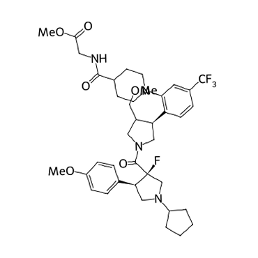 COCC1CN(C(=O)[C@]2(F)CN(C3CCCC3)C[C@H]2c2ccc(OC)cc2)C[C@@H]1c1ccc(C(F)(F)F)cc1N1CCC(C(=O)NCC(=O)OC)CC1